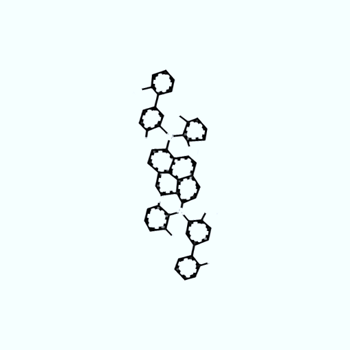 Cc1ccccc1-c1ccc(C)c(N(c2c(C)cccc2C)c2ccc3ccc4c(N(c5cc(-c6ccccc6C)ccc5C)c5c(C)cccc5C)ccc5ccc2c3c54)c1